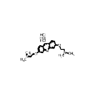 CN(C)CCOc1ccc2cc3ccc(OCCN(C)C)cc3nc2c1.Cl.Cl.Cl